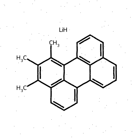 Cc1c(C)c2cccc3c4cccc5cccc(c(c1C)c23)c54.[LiH]